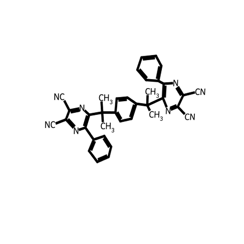 CC(C)(c1ccc(C(C)(C)c2nc(C#N)c(C#N)nc2-c2ccccc2)cc1)c1nc(C#N)c(C#N)nc1-c1ccccc1